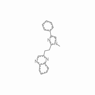 Cn1cc(-c2ccccc2)nc1CCc1cnc2ccccc2n1